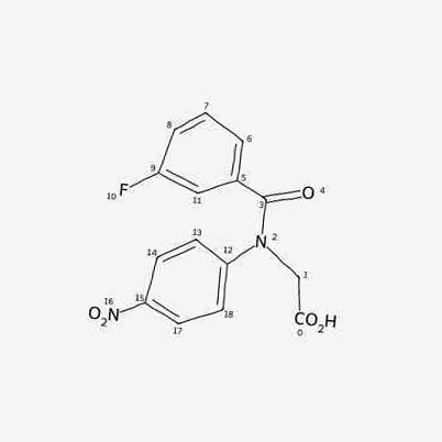 O=C(O)CN(C(=O)c1cccc(F)c1)c1ccc([N+](=O)[O-])cc1